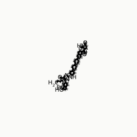 C=CCn1c(=O)c2cnc(Nc3ccc(N4CCC(N5CCC(N6Cc7ccc8c(C9CCC(=O)NC9=O)noc8c7C6)CC5)CC4)cc3)nc2n1-c1ccc2c(n1)[C@@](O)(CC)CC2